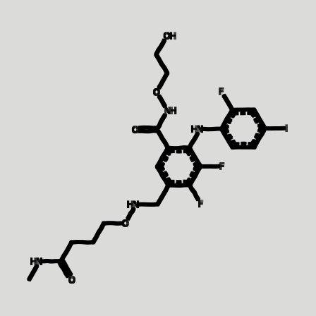 CNC(=O)CCCONCc1cc(C(=O)NOCCO)c(Nc2ccc(I)cc2F)c(F)c1F